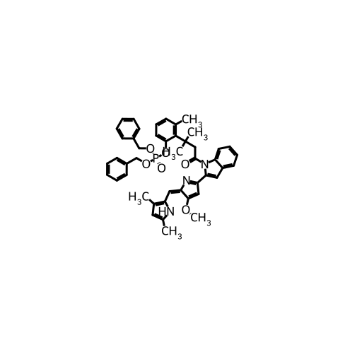 COC1=CC(c2cc3ccccc3n2C(=O)CC(C)(C)c2c(C)cccc2OP(=O)(OCc2ccccc2)OCc2ccccc2)=N/C1=C/c1[nH]c(C)cc1C